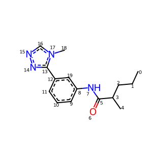 CCCC(C)C(=O)Nc1cccc(-c2nncn2C)c1